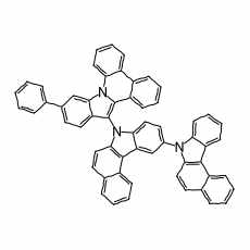 c1ccc(-c2ccc3c(-n4c5ccc(-n6c7ccccc7c7c8ccccc8ccc76)cc5c5c6ccccc6ccc54)c4c5ccccc5c5ccccc5n4c3c2)cc1